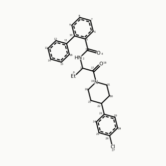 CCC(NC(=O)c1ccccc1-c1ccccc1)C(=O)N1CCC(c2ccc(Cl)cc2)CC1